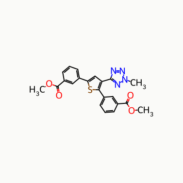 COC(=O)c1cccc(-c2cc(-c3nnn(C)n3)c(-c3cccc(C(=O)OC)c3)s2)c1